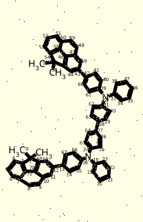 CC1(C)c2cccc3ccc4cc(-c5ccc(N(c6ccccc6)c6ccc(-c7ccc(N(c8ccccc8)c8ccc(-c9cc%10c%11c(ccc%12cccc(c%12%11)C%10(C)C)c9)cc8)cc7)cc6)cc5)cc1c4c23